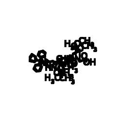 CC(C)(C)OC(=O)CC[C@H](NC(=O)C(C)(C)NC(=O)[C@H](Cc1cn(C(c2ccccc2)(c2ccccc2)c2ccccc2)cn1)NC(=O)OC(C)(C)C)C(=O)NCC(=O)O